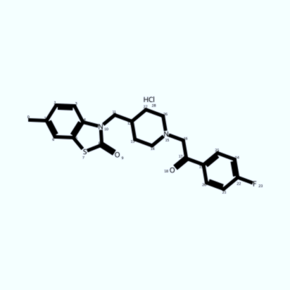 Cc1ccc2c(c1)sc(=O)n2CC1CCN(CC(=O)c2ccc(F)cc2)CC1.Cl